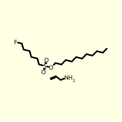 C=CCN.CCCCCCCCCCCOS(=O)(=O)CCCCCCF